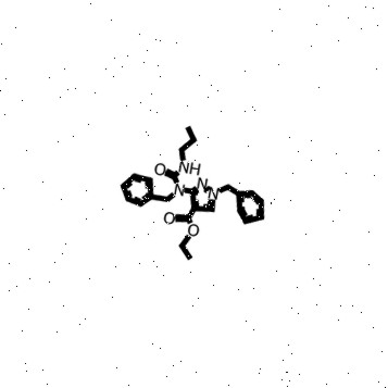 CCCNC(=O)N(Cc1ccccc1)c1nn(Cc2ccccc2)cc1C(=O)OCC